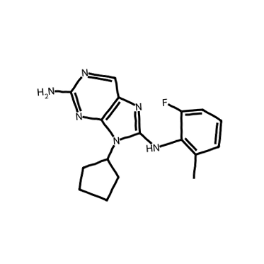 Cc1cccc(F)c1Nc1nc2cnc(N)nc2n1C1CCCC1